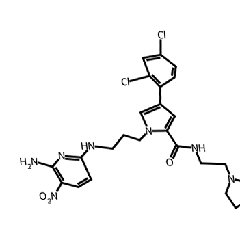 Nc1nc(NCCCn2cc(-c3ccc(Cl)cc3Cl)cc2C(=O)NCCN2CCCC2)ccc1[N+](=O)[O-]